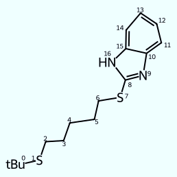 CC(C)(C)SCCCCCSc1nc2ccccc2[nH]1